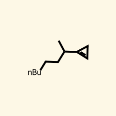 CCCCCCC(C)C1=CC1